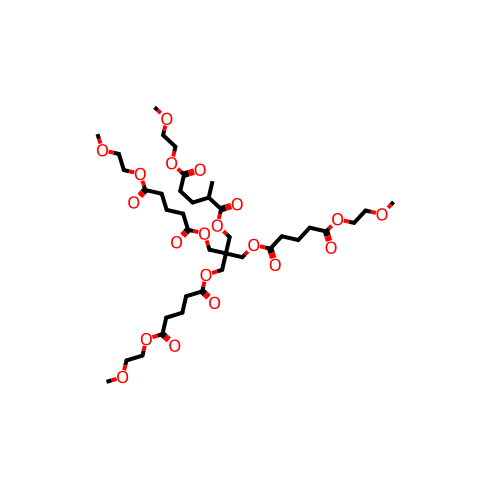 COCCOC(=O)CCCC(=O)OCC(COC(=O)CCCC(=O)OCCOC)(COC(=O)CCCC(=O)OCCOC)COC(=O)C(C)CCC(=O)OCCOC